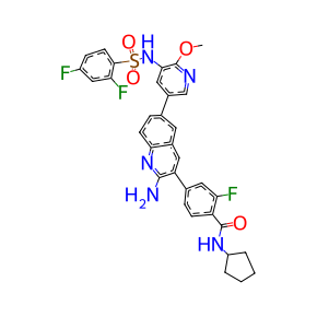 COc1ncc(-c2ccc3nc(N)c(-c4ccc(C(=O)NC5CCCC5)c(F)c4)cc3c2)cc1NS(=O)(=O)c1ccc(F)cc1F